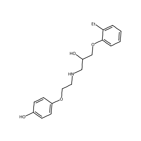 CCc1ccccc1OCC(O)CNCCOc1ccc(O)cc1